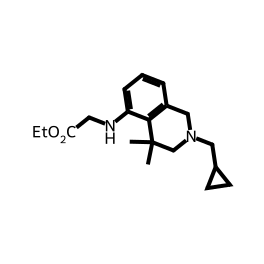 CCOC(=O)CNc1cccc2c1C(C)(C)CN(CC1CC1)C2